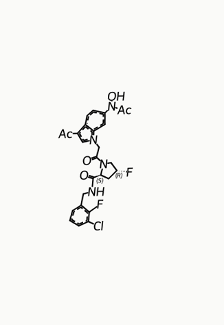 CC(=O)c1cn(CC(=O)N2C[C@H](F)C[C@H]2C(=O)NCc2cccc(Cl)c2F)c2cc(N(O)C(C)=O)ccc12